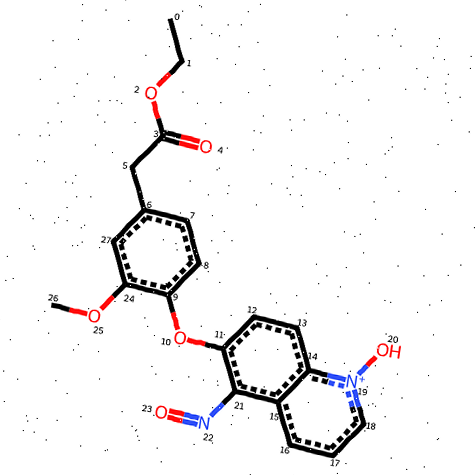 CCOC(=O)Cc1ccc(Oc2ccc3c(ccc[n+]3O)c2N=O)c(OC)c1